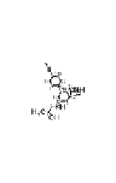 CC(O)CNc1cc2c(c(-c3ccc(C#N)cc3)c1)CNC2.Cl